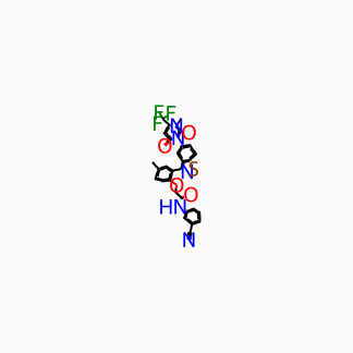 Cc1ccc(OCC(=O)Nc2cccc(C#N)c2)c(-c2nsc3ccc(-n4c(=O)cc(C(F)(F)F)n(C)c4=O)cc23)c1